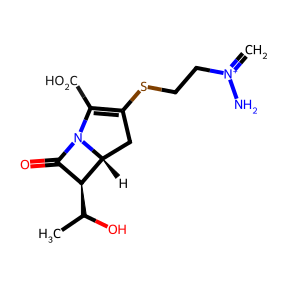 C=[N+](N)CCSC1=C(C(=O)O)N2C(=O)[C@H](C(C)O)[C@H]2C1